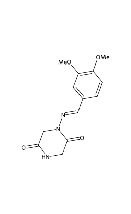 COc1ccc(C=NN2CC(=O)NCC2=O)cc1OC